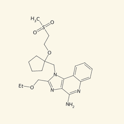 CCOCc1nc2c(N)nc3ccccc3c2n1CC1(OCCS(C)(=O)=O)CCCC1